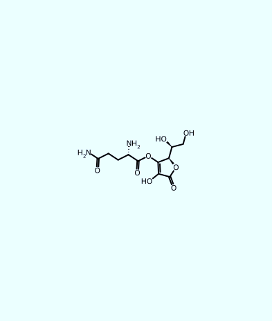 NC(=O)CC[C@H](N)C(=O)OC1=C(O)C(=O)O[C@@H]1[C@@H](O)CO